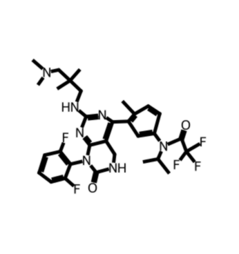 Cc1ccc(N(C(=O)C(F)(F)F)C(C)C)cc1-c1nc(NCC(C)(C)CN(C)C)nc2c1CNC(=O)N2c1c(F)cccc1F